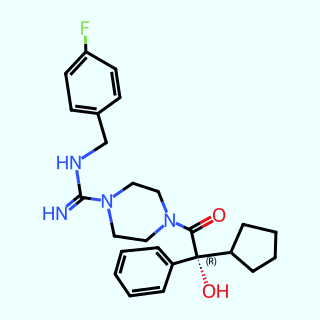 N=C(NCc1ccc(F)cc1)N1CCN(C(=O)[C@](O)(c2ccccc2)C2CCCC2)CC1